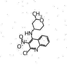 C[C@@H]1C[C@H](Nc2c([N+](=O)[O-])c(Cl)nc3ccccc23)CCO1